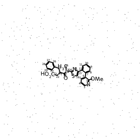 COc1ncccc1-c1ccccc1-c1csc(N(C)C(=O)[C@@H](CC(=O)O)Cc2ccccc2)n1